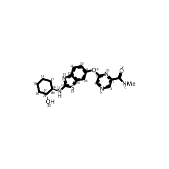 CNC(=O)c1cncc(Oc2ccc3nc(N[C@@H]4CCCC[C@H]4O)sc3c2)n1